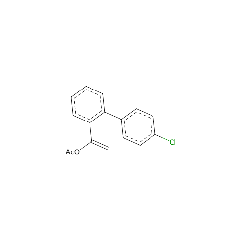 C=C(OC(C)=O)c1ccccc1-c1ccc(Cl)cc1